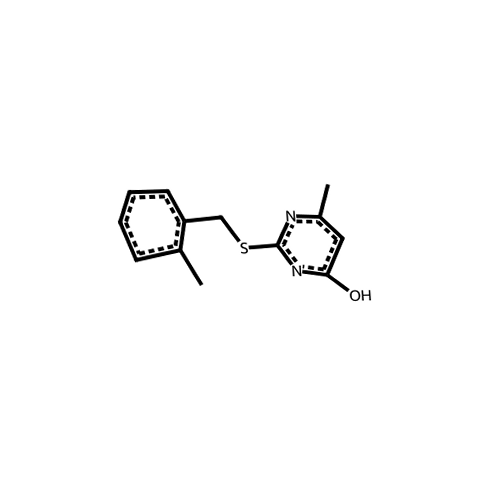 Cc1cc(O)nc(SCc2ccccc2C)n1